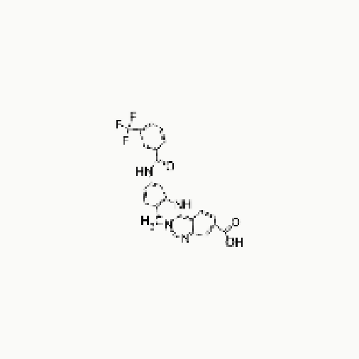 Cc1ccc(NC(=O)c2cccc(C(F)(F)F)c2)cc1Nc1ncnc2cc(C(=O)O)ccc12